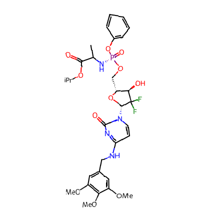 COc1cc(CNc2ccn([C@@H]3O[C@H](CO[P@@](=O)(NC(C)C(=O)OC(C)C)Oc4ccccc4)[C@@H](O)C3(F)F)c(=O)n2)cc(OC)c1OC